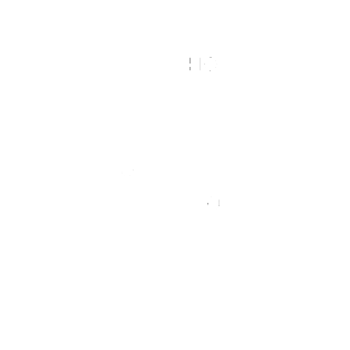 CCOCCO.COC